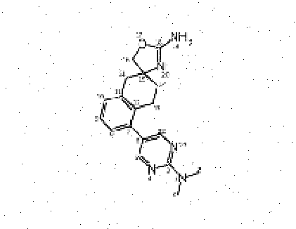 CN(C)c1ncc(-c2cccc3c2CCC2(COC(N)=N2)C3)cn1